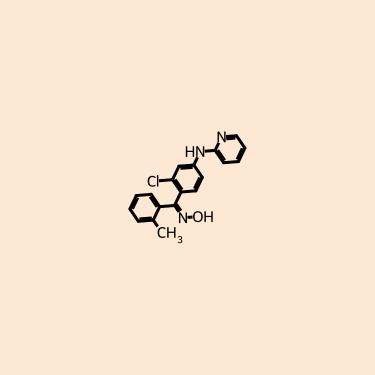 Cc1ccccc1C(=NO)c1ccc(Nc2ccccn2)cc1Cl